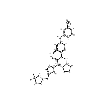 CC1(C)OCC(Cn2ccc(NC(=O)C(CC3CCCC3)n3ncc(Oc4nccc(C(F)(F)F)n4)cc3=O)n2)O1